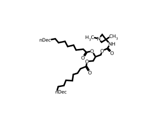 CCCCCCCCCCCCCCCCCC(=O)OCC(COC(=O)NC1(C)CN(C)C1)OC(=O)CCCCCCCCCCCCCCCCC